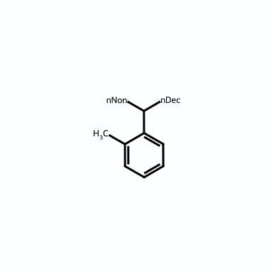 CCCCCCCCCCC(CCCCCCCCC)c1ccccc1C